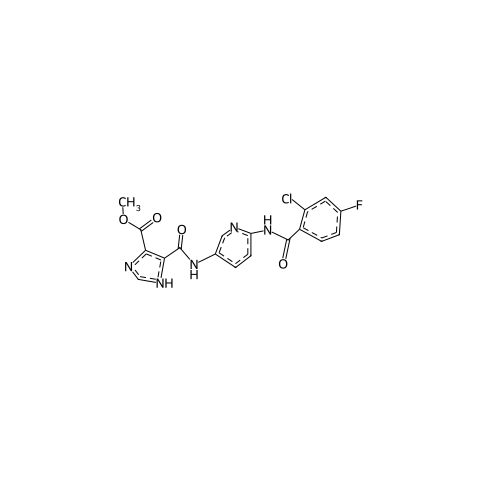 COC(=O)c1nc[nH]c1C(=O)Nc1ccc(NC(=O)c2ccc(F)cc2Cl)nc1